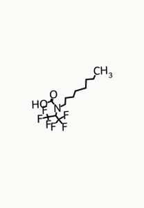 CCCCCCCCN(C(=O)O)C(C(F)(F)F)C(F)(F)F